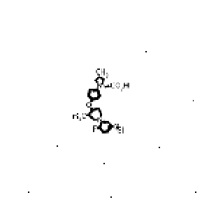 CCOc1ccc(F)c(N2CCC(Oc3ccc(N4C[C@H](C)C[C@@H]4CC(=O)O)cc3)C(C)C2)c1